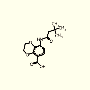 CC(C)(C)CC(=O)Nc1ccc(C(=O)O)c2c1OCCO2